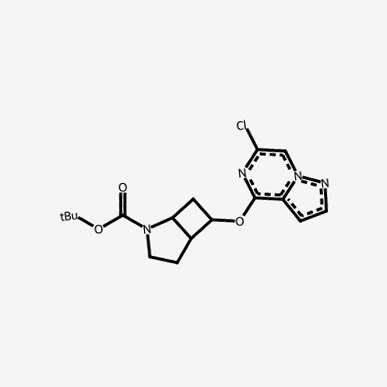 CC(C)(C)OC(=O)N1CCC2C(Oc3nc(Cl)cn4nccc34)CC21